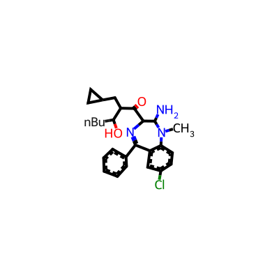 CCCCC(O)C(CC1CC1)C(=O)C1N=C(c2ccccc2)c2cc(Cl)ccc2N(C)C1N